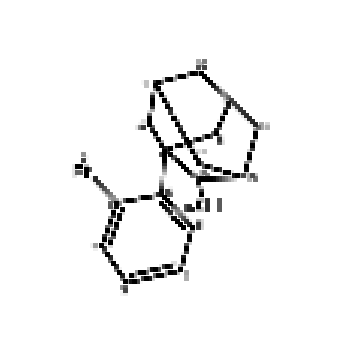 CCc1ccccc1C12CC3CC(CC(C3)C1O)C2